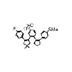 CSc1ccc(C2=C(c3ccc(S(C)(=O)=O)cc3C3=C(c4ccc(F)cc4)CC(C)(C)C3)CCC2)cc1